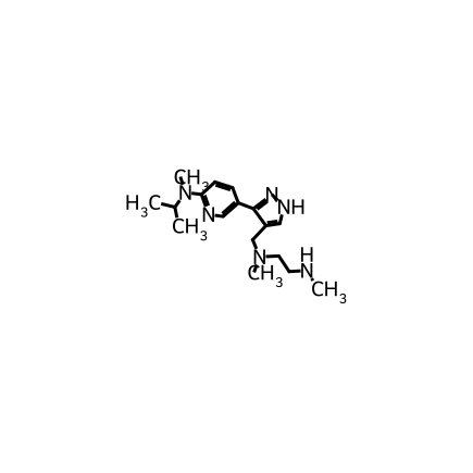 CNCCN(C)Cc1c[nH]nc1-c1ccc(N(C)C(C)C)nc1